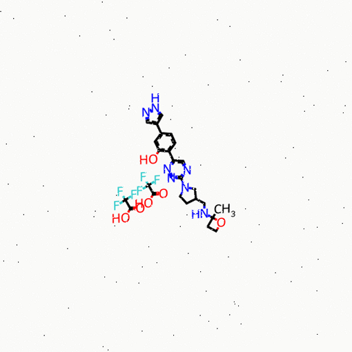 CC1(NCC2CCN(c3ncc(-c4ccc(-c5cn[nH]c5)cc4O)nn3)C2)CCO1.O=C(O)C(F)(F)F.O=C(O)C(F)(F)F